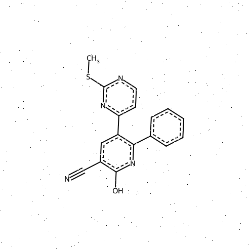 CSc1nccc(-c2cc(C#N)c(O)nc2-c2ccccc2)n1